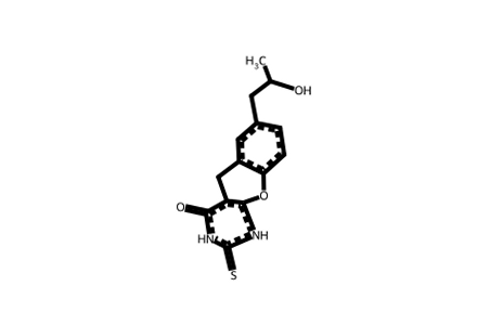 CC(O)Cc1ccc2c(c1)Cc1c([nH]c(=S)[nH]c1=O)O2